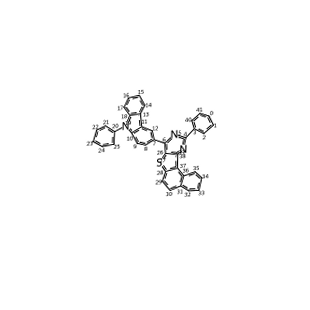 c1ccc(-c2nc(-c3ccc4c(c3)c3ccccc3n4-c3ccccc3)c3sc4ccc5ccccc5c4c3n2)cc1